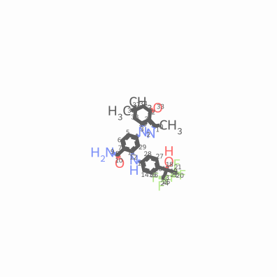 Cc1nn(-c2ccc(C(N)=O)c(Nc3ccc(C(O)(C(F)(F)F)C(F)(F)F)cc3)c2)c2c1C(=O)CC(C)(C)C2